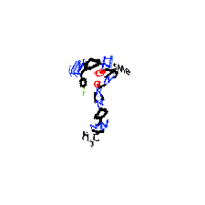 CS[C@@]1(C(=O)Nc2ccc3[nH]nc(-c4ccc(F)cc4)c3c2)CCN(CC(=O)N2CCN(c3ccc(-c4ncc(C)cn4)cc3)CC2)C1